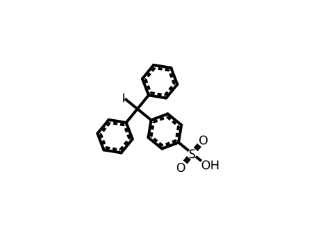 O=S(=O)(O)c1ccc(C(I)(c2ccccc2)c2ccccc2)cc1